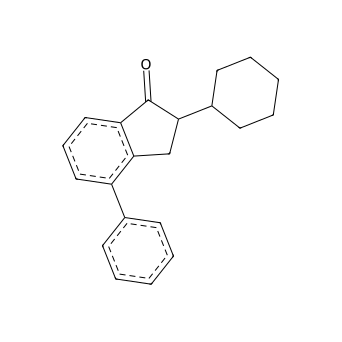 O=C1c2cccc(-c3ccccc3)c2CC1C1CCCCC1